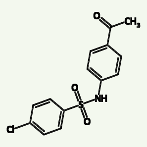 CC(=O)c1ccc(NS(=O)(=O)c2ccc(Cl)cc2)cc1